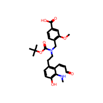 CNc1c(O)ccc(CCN(Cc2ccc(C(=O)O)cc2OC)C(=O)OC(C)(C)C)c1/C=C\C=O